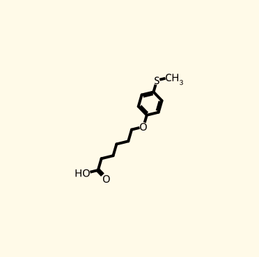 CSc1ccc(OCCCCCC(=O)O)cc1